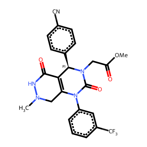 COC(=O)CN1C(=O)N(c2cccc(C(F)(F)F)c2)C2=C(C(=O)NN(C)C2)[C@H]1c1ccc(C#N)cc1